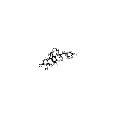 Cn1nc(C2CCC(=O)NC2=O)c2cccc(NC(=O)CN3CCCC3)c21